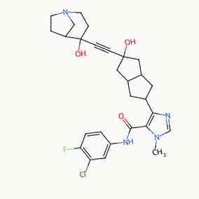 Cn1cnc(C2CC3CC(O)(C#CC4(O)CCN5CCC4C5)CC3C2)c1C(=O)Nc1ccc(F)c(Cl)c1